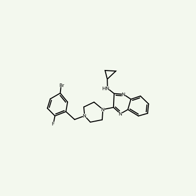 Fc1ccc(Br)cc1CN1CCN(c2nc3ccccc3nc2NC2CC2)CC1